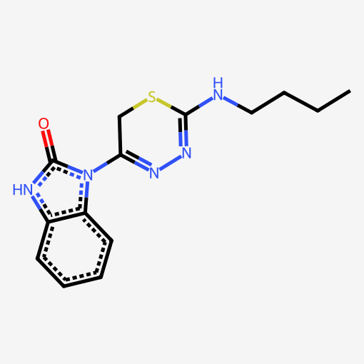 CCCCNC1=NN=C(n2c(=O)[nH]c3ccccc32)CS1